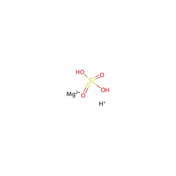 O=S(=O)(O)O.[H+].[Mg+2]